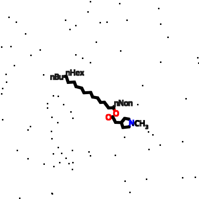 CCCCCCCCCC(CCCCCCCCCCCC(CCCC)CCCCCC)OC(=O)CC1CCN(C)CC1